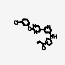 C=CC(=O)N1CC[C@H](Nc2cncc(-c3cnc(Oc4cccc(Cl)c4)nc3)c2)C1